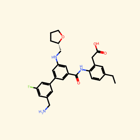 CCc1ccc(NC(=O)c2cc(NC[C@@H]3CCCO3)cc(-c3cc(F)cc(CN)c3)c2)c(CC(=O)O)c1